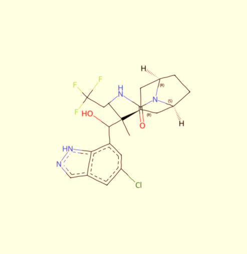 CC(C)(C(O)c1cc(Cl)cc2cn[nH]c12)[C@H]1C[C@H]2CC[C@@H](C1)N2C(=O)NCC(F)(F)F